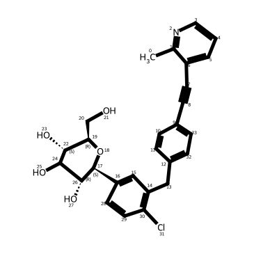 Cc1ncccc1C#Cc1ccc(Cc2cc([C@@H]3O[C@H](CO)[C@@H](O)C(O)[C@H]3O)ccc2Cl)cc1